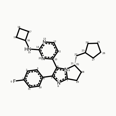 Fc1ccc(-c2nc3n(c2-c2ccnc(NC4CCC4)n2)[C@H](CC2CCCC2)CC3)cc1